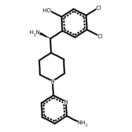 Nc1cccc(N2CCC([C@@H](N)c3cc(Cl)c(Cl)cc3O)CC2)n1